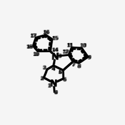 CN1CCC2C(C1)c1ccccc1N2c1ccccc1